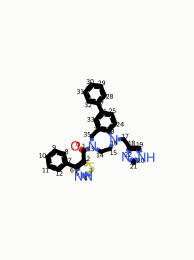 O=C(c1snnc1-c1ccccc1)N1CCN(Cc2c[nH]cn2)c2ccc(-c3ccccc3)cc2C1